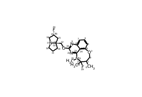 CC1COc2cccc3nc(OC[C@@]45CCCN4C[C@H](F)C5)nc(c23)N(C)C1(C)F